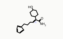 NC(=O)/C(=C/CCCc1ccccc1)C1CCC(O)CC1